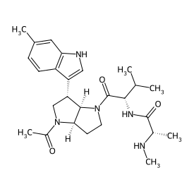 CN[C@@H](C)C(=O)N[C@H](C(=O)N1CC[C@@H]2[C@H]1[C@@H](c1c[nH]c3cc(C)ccc13)CN2C(C)=O)C(C)C